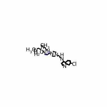 C=N/C=C\C(=N/CCN(C)CCNC)N1CCN(CCNc2ccnc3cc(Cl)ccc23)CC1